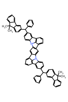 CC1(C)c2ccccc2-c2cc(C(c3ccccc3)c3ccc4c(c3)c3cccc5c6cc7c(cc6n4c35)c3cccc4c5cc(C(c6ccccc6)c6ccc8c(c6)-c6ccccc6C8(C)C)ccc5n7c43)ccc21